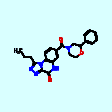 CCCc1nnc2c(=O)[nH]c3cc(C(=O)N4CCOC(c5ccccc5)C4)ccc3n12